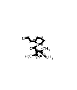 Cc1nn(C)c(C)c1C(=O)N1CCCCC1CCCl